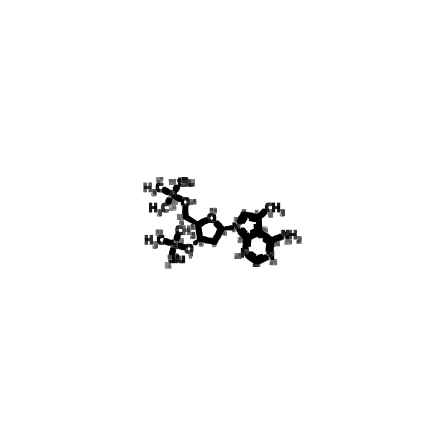 Cc1cn([C@H]2C[C@H](O[Si](C)(C)C(C)(C)C)[C@@H](CO[Si](C)(C)C(C)(C)C)O2)c2ncnc(N)c12